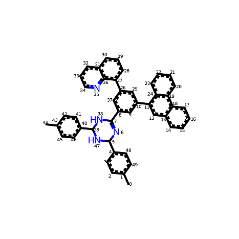 Cc1ccc(C2N=C(c3cc(-c4cc5ccccc5c5ccccc45)cc(-c4cccc5cccnc45)c3)NC(c3ccc(C)cc3)N2)cc1